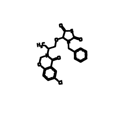 CC(COC1C(=O)SC(=O)N1Cc1ccccc1)N1COc2ccc(Cl)cc2C1=O